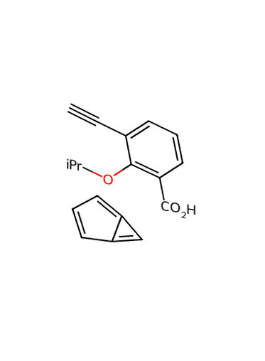 C#Cc1cccc(C(=O)O)c1OC(C)C.c1cc2cc-2c1